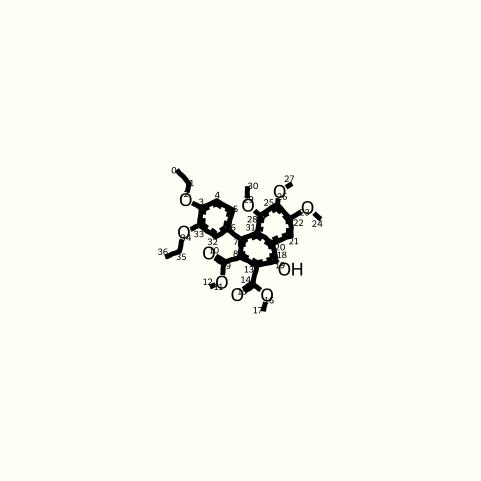 CCOc1ccc(-c2c(C(=O)OC)c(C(=O)OC)c(O)c3cc(OC)c(OC)c(OC)c23)cc1OCC